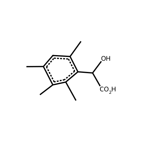 Cc1cc(C)c(C(O)C(=O)O)c(C)c1C